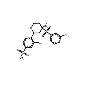 Cc1cc(S(C)(=O)=O)ccc1C1CC(C)(S(=O)(=O)c2cccc(C(F)(F)F)c2)CCO1